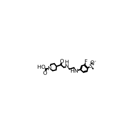 C[S+]([O-])c1ccc(NCCNCC(=O)C2CCN(C(=O)O)CC2)cc1F